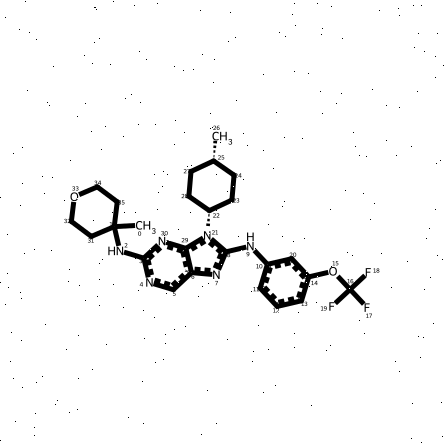 CC1(Nc2ncc3nc(Nc4cccc(OC(F)(F)F)c4)n([C@H]4CC[C@@H](C)CC4)c3n2)CCOCC1